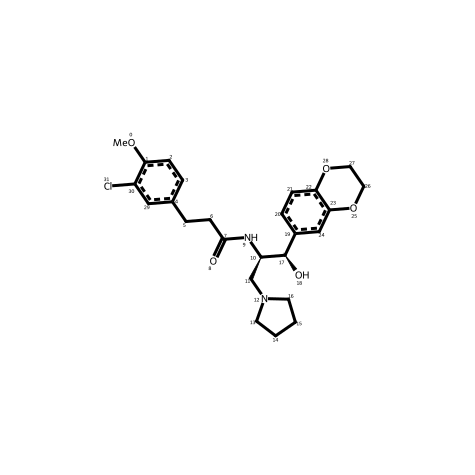 COc1ccc(CCC(=O)N[C@H](CN2CCCC2)[C@H](O)c2ccc3c(c2)OCCO3)cc1Cl